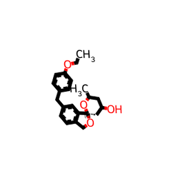 CCOc1ccc(Cc2ccc3c(c2)[C@]2(CC(O)CC(C)O2)OC3)cc1